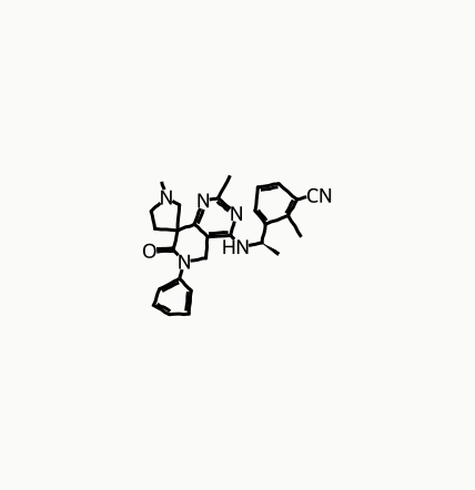 Cc1nc(N[C@H](C)c2cccc(C#N)c2C)c2c(n1)C1(CCN(C)C1)C(=O)N(c1ccccc1)C2